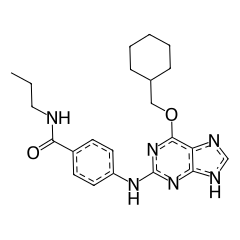 CCCNC(=O)c1ccc(Nc2nc(OCC3CCCCC3)c3nc[nH]c3n2)cc1